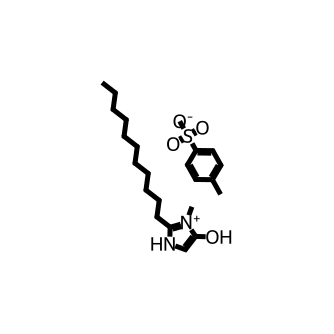 CCCCCCCCCCCc1[nH]cc(O)[n+]1C.Cc1ccc(S(=O)(=O)[O-])cc1